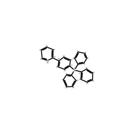 c1ccc(S(c2ccccc2)(c2ccccc2)c2ccc(-c3ccccn3)cc2)cc1